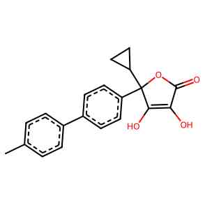 Cc1ccc(-c2ccc(C3(C4CC4)OC(=O)C(O)=C3O)cc2)cc1